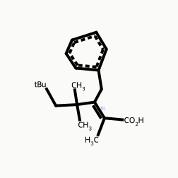 C/C(C(=O)O)=C(/Cc1ccccc1)C(C)(C)CC(C)(C)C